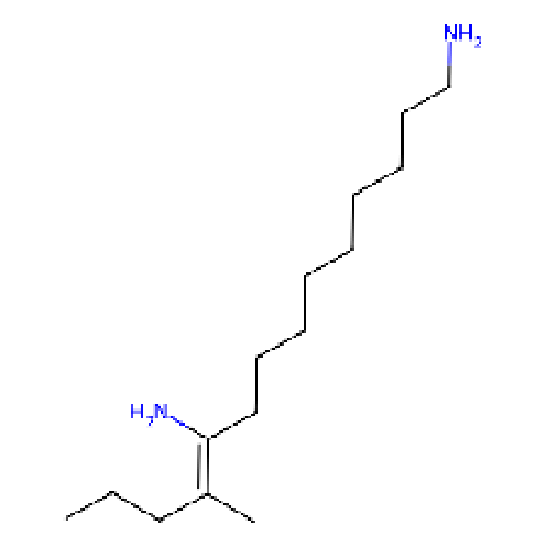 CCCC(C)=C(N)CCCCCCCCCN